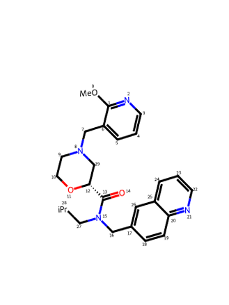 COc1ncccc1CN1CCO[C@@H](C(=O)N(Cc2ccc3ncccc3c2)CC(C)C)C1